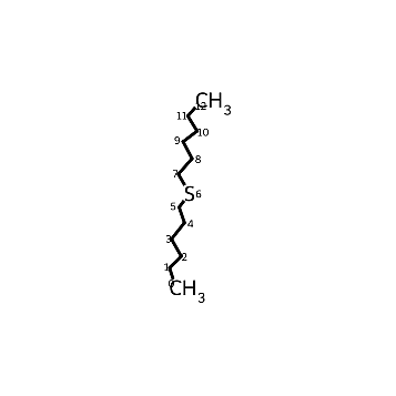 CCCCCCSCCCCCC